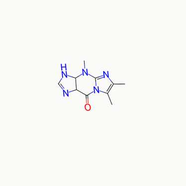 Cc1nc2n(c1C)C(=O)C1N=CNC1N2C